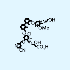 COc1nc(OCc2cccc(-c3cccc(COc4cc(OCc5cncc(C#N)c5)c(CNCC(O)CC(=O)O)cc4Cl)c3C)c2C)ccc1CNCCO